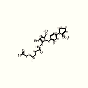 CCOc1nc(CC)c(CNC(=O)CC[C@H](C)SCC(=O)CC)n1Cc1ccc(-c2ccccc2C(=O)O)cc1F